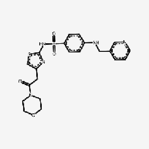 O=C(Cc1csc(NS(=O)(=O)c2ccc(NCc3cccnc3)cc2)n1)N1CCOCC1